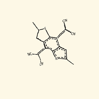 Cc1cc2c(=C(C#N)C#N)c3c(c(=C(C#N)C#N)c2s1)CC(C)S3